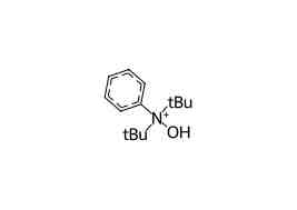 CC(C)(C)[N+](O)(c1ccccc1)C(C)(C)C